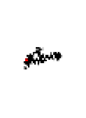 COc1ccc2nccc([C@H](O)CC[C@@H]3CCN(CCCSc4ccccc4Cl)C[C@H]3CCC(=O)O)c2c1